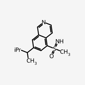 CC(C)C(C)c1cc(S(C)(=N)=O)c2ccncc2c1